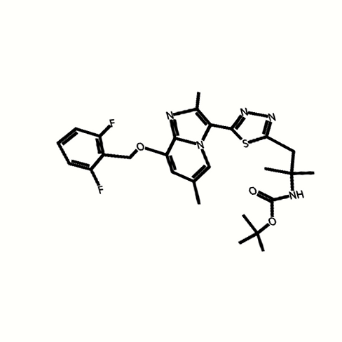 Cc1cc(OCc2c(F)cccc2F)c2nc(C)c(-c3nnc(CC(C)(C)NC(=O)OC(C)(C)C)s3)n2c1